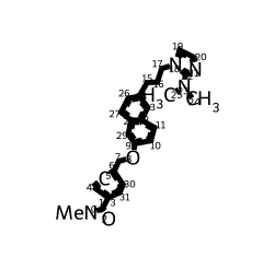 CNC(=O)c1ccc(COc2ccc3cc(CCCn4ccnc4N(C)C)ccc3c2)cc1